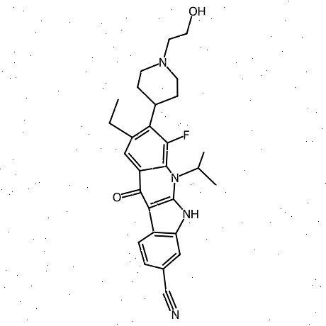 CCc1cc2c(=O)c3c4ccc(C#N)cc4[nH]c3n(C(C)C)c2c(F)c1C1CCN(CCO)CC1